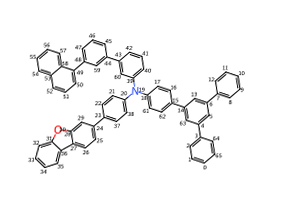 c1ccc(-c2cc(-c3ccccc3)cc(-c3ccc(N(c4ccc(-c5ccc6c(c5)oc5ccccc56)cc4)c4cccc(-c5cccc(-c6cccc7ccccc67)c5)c4)cc3)c2)cc1